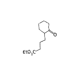 CCOC(=O)CCCC1CCCCC1=O